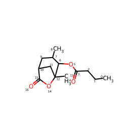 CCCC(=O)OC1C(C)CC2CC1(C)OC2=O